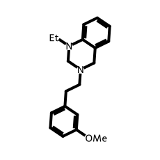 CCN1CN(CCc2cccc(OC)c2)Cc2ccccc21